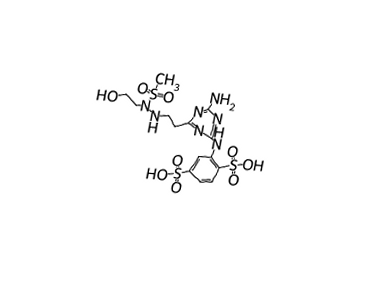 CS(=O)(=O)N(CCO)NCCc1nc(N)nc(Nc2cc(S(=O)(=O)O)ccc2S(=O)(=O)O)n1